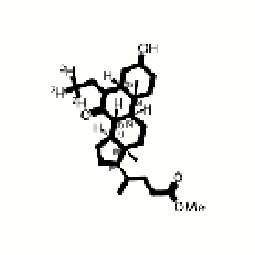 [2H]C([2H])([2H])CC1C(=O)[C@@H]2[C@H](CC[C@]3(C)[C@@H](C(C)CCC(=O)OC)CC[C@@H]23)[C@@]2(C)CCC(O)C[C@@H]12